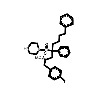 CCOC(=O)C(Cc1ccc(F)cc1)CC(CCCCc1ccccc1)(c1ccccc1)S(=O)(=O)N1CCNCC1